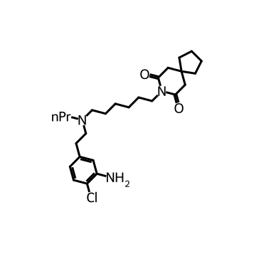 CCCN(CCCCCCN1C(=O)CC2(CCCC2)CC1=O)CCc1ccc(Cl)c(N)c1